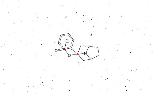 O=C(Cl)OC1CC2CCC(C1)N2Cc1ccccc1